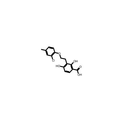 Cc1ccc(OCCc2c(O)ccc(C(=O)O)c2O)c(Cl)c1